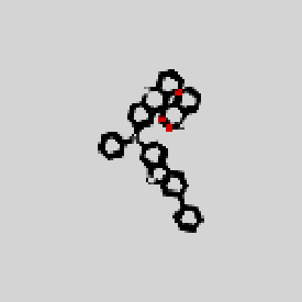 c1ccc(-c2ccc3c(c2)oc2cc(N(c4ccccc4)c4ccc5c(c4)C4(c6ccccc6O5)c5ccccc5Sc5ccccc54)ccc23)cc1